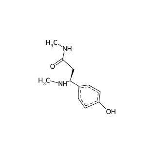 CNC(=O)C[C@H](NC)c1ccc(O)cc1